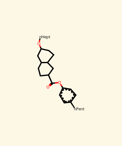 CCCCCCCOC1CCC2CC(C(=O)Oc3ccc(CCCCC)cc3)CCC2C1